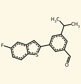 CC(C)c1cc(C=O)cc(-c2cc3cc(F)ccc3s2)c1